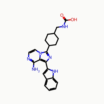 Nc1nccn2c(C3CCC(CNC(=O)O)CC3)nc(-c3cc4ccccc4[nH]3)c12